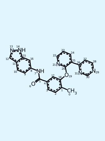 Cc1ccc(C(=O)Nc2ccc3cn[nH]c3c2)cc1Oc1ncccc1-c1ccncn1